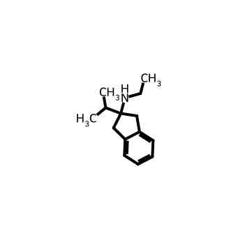 CCNC1(C(C)C)Cc2ccccc2C1